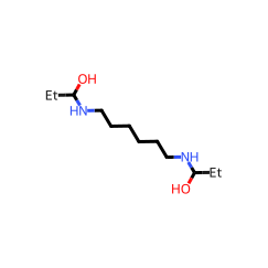 CCC(O)NCCCCCCNC(O)CC